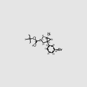 CC(C)(C)OC(=O)N1C[C@H]2CC2(c2cccc(Br)c2)C1